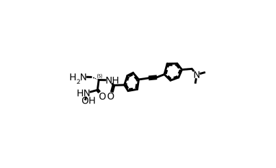 CN(C)Cc1ccc(C#Cc2ccc(C(=O)N[C@@H](CN)C(=O)NO)cc2)cc1